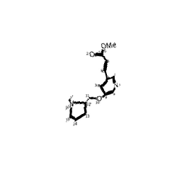 COC(=O)/C=C/c1cncc(OC[C@@H]2CCCN2C)c1